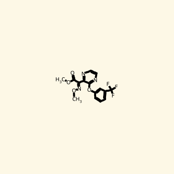 CON=C(C(=O)OC)c1nccnc1Oc1cccc(C(F)(F)F)c1